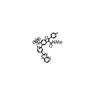 CNC(=O)c1c(-c2ccc(C)cc2)oc2cc(N(C)S(C)(=O)=O)c(-c3cc(-c4nc5ncccc5s4)ccn3)cc12